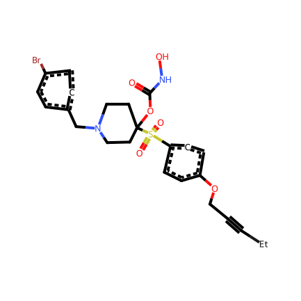 CCC#CCOc1ccc(S(=O)(=O)C2(OC(=O)NO)CCN(Cc3ccc(Br)cc3)CC2)cc1